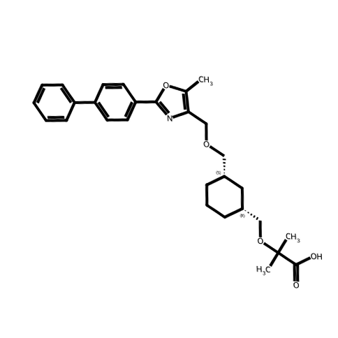 Cc1oc(-c2ccc(-c3ccccc3)cc2)nc1COC[C@H]1CCC[C@@H](COC(C)(C)C(=O)O)C1